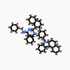 C=N/C(=N\C(=N/Cc1ccccc1)c1ccccc1)c1c(-c2ccc(-n3c4ccccc4c4c5ccccc5ccc43)cc2)ccc2ccccc12